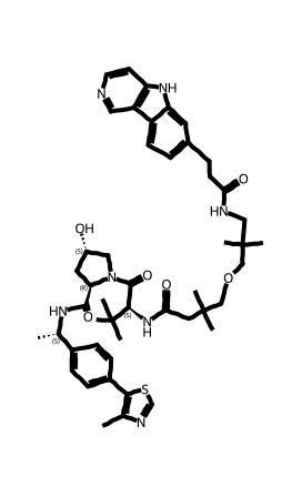 Cc1ncsc1-c1ccc([C@H](C)NC(=O)[C@H]2C[C@H](O)CN2C(=O)[C@@H](NC(=O)CC(C)(C)COCC(C)(C)CNC(=O)CCc2ccc3c(c2)[nH]c2ccncc23)C(C)(C)C)cc1